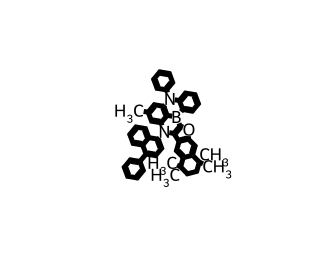 Cc1cc2c3c(c1)N(c1ccc(-c4ccccc4)c4ccccc14)c1c(oc4cc5c(cc14)C(C)(C)CCC5(C)C)B3c1ccccc1N2c1ccccc1